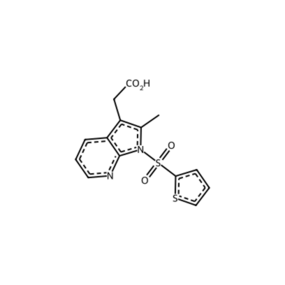 Cc1c(CC(=O)O)c2cccnc2n1S(=O)(=O)c1cccs1